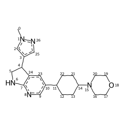 Cn1cc(C2CNc3ncc(C4CCC(N5CCOCC5)CC4)cc32)cn1